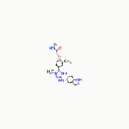 Cc1cc(C2NC(Nc3ccc4[nH]ncc4c3)=NN2C)ccc1OCC(=O)NC(C)C